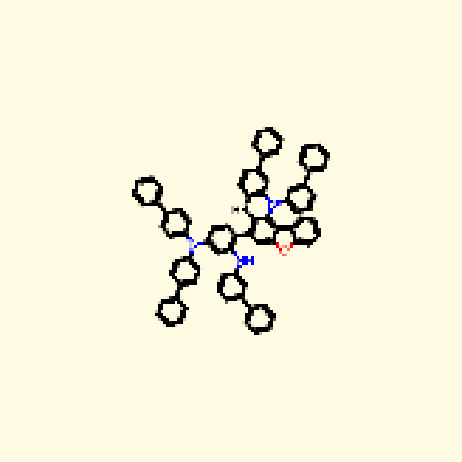 B1c2ccc(-c3ccccc3)cc2N(c2cccc(-c3ccccc3)c2)c2c1c(-c1ccc(N(c3ccc(-c4ccccc4)cc3)c3ccc(-c4ccccc4)cc3)cc1Nc1cccc(-c3ccccc3)c1)cc1oc3ccccc3c21